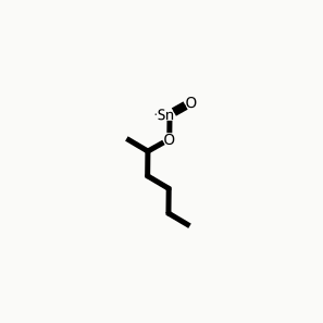 CCCCC(C)[O][Sn]=[O]